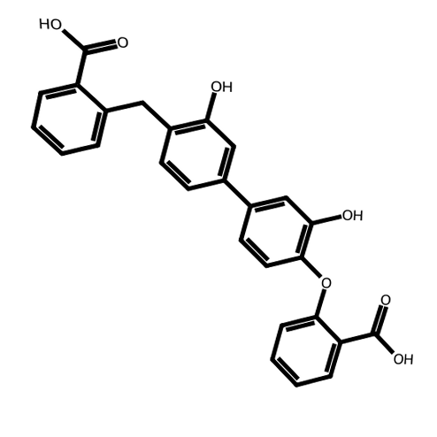 O=C(O)c1ccccc1Cc1ccc(-c2ccc(Oc3ccccc3C(=O)O)c(O)c2)cc1O